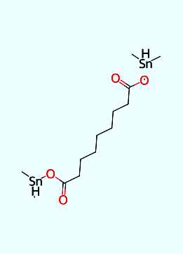 [CH3][SnH]([CH3])[O]C(=O)CCCCCCCC(=O)[O][SnH]([CH3])[CH3]